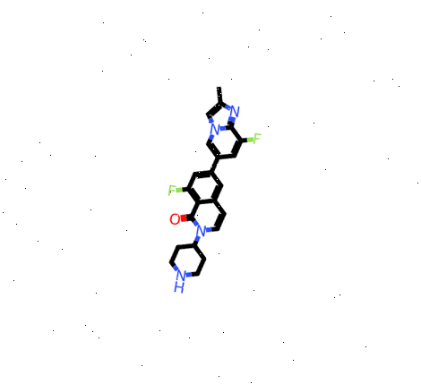 Cc1cn2cc(-c3cc(F)c4c(=O)n(C5CCNCC5)ccc4c3)cc(F)c2n1